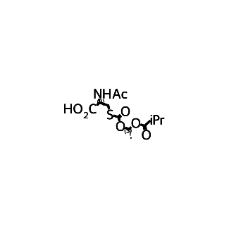 CC(=O)N[C@@H](CSC(=O)O[C@@H](C)OC(=O)C(C)C)C(=O)O